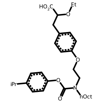 CCCCCCCCN(CCOc1ccc(CC(OCC)C(=O)O)cc1)C(=O)Oc1ccc(C(C)C)cc1